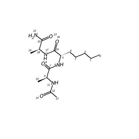 CCCCC[C@H](NC(=O)[C@H](C)NC(C)=O)C(=O)N[C@@H](C)C(N)=O